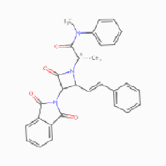 C[C@@H](C(=O)N(C)c1ccccc1)N1C(=O)C(N2C(=O)c3ccccc3C2=O)C1C=Cc1ccccc1